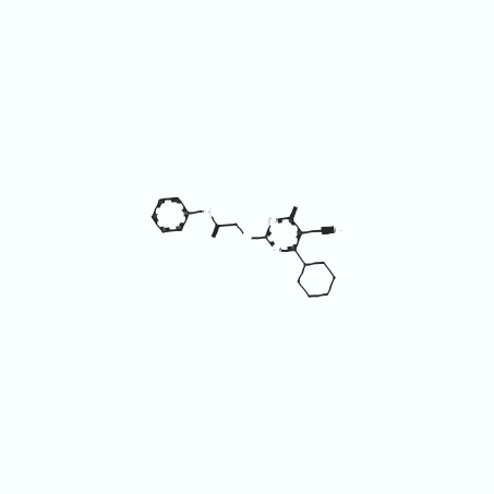 N#Cc1c(C2CCCCC2)nc(SCC(=O)Nc2ccccc2)[nH]c1=O